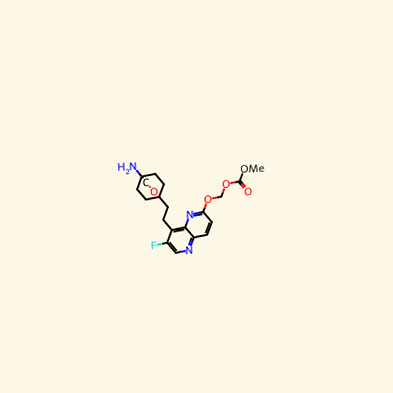 COC(=O)OCOc1ccc2ncc(F)c(CCC34CCC(N)(CC3)CO4)c2n1